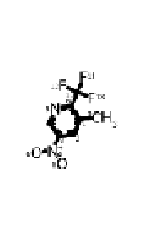 Cc1cc([N+](=O)[O-])cnc1C(F)(F)F